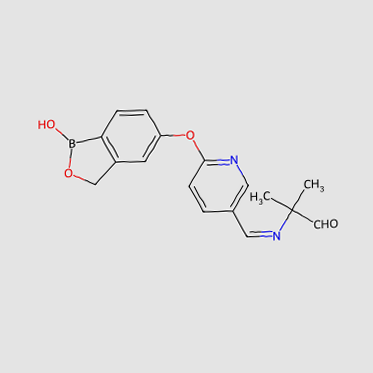 CC(C)(C=O)/N=C\c1ccc(Oc2ccc3c(c2)COB3O)nc1